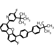 CC(C)(C)c1ccc(-c2ccc(-c3c(F)ccc4c3oc3c(-c5cc(C(C)(C)C)c(F)cn5)cccc34)cc2)cc1